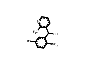 O=[N+]([O-])c1ccc(Br)cc1C(O)c1cccnc1C(F)(F)F